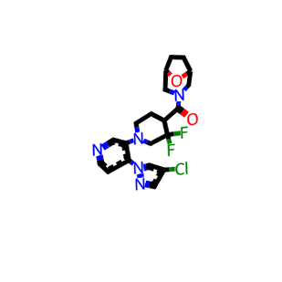 O=C(C1CCN(c2cnccc2-n2cc(Cl)cn2)CC1(F)F)N1CC2CCC(C1)O2